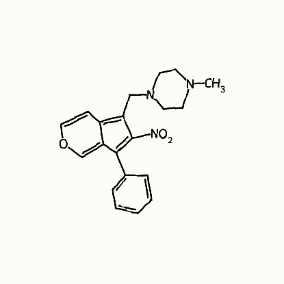 CN1CCN(Cc2c3ccocc-3c(-c3ccccc3)c2[N+](=O)[O-])CC1